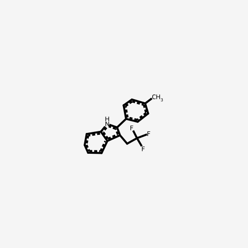 Cc1ccc(-c2[nH]c3ccccc3c2CC(F)(F)F)cc1